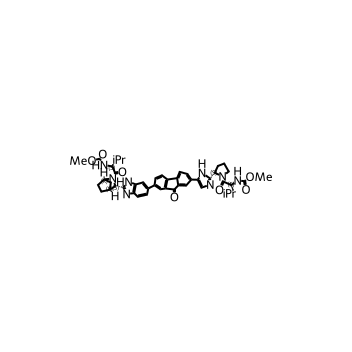 COC(=O)N[C@H](C(=O)N1CCC[C@H]1c1ncc(-c2ccc3c(c2)C(=O)c2cc(-c4ccc5nc([C@@H]6[C@H]7CC[C@H](C7)N6C(=O)[C@@H](NC(=O)OC)C(C)C)[nH]c5c4)ccc2-3)[nH]1)C(C)C